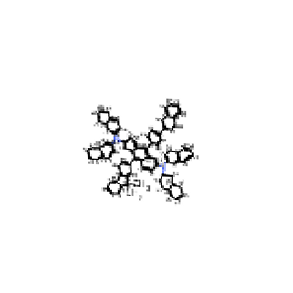 CC1(C)c2ccccc2-c2ccc(-c3c4ccc(N(C5=CCC6C=CC=CC6=C5)c5ccc6ccccc6c5)cc4c(-c4ccc(-c5ccc6ccccc6c5)cc4)c4ccc(N(C5=CC=C6C=CC=CC6C5)c5ccc6ccccc6c5)cc34)cc21